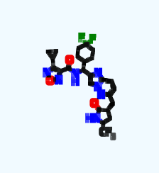 O=C(N[C@H](c1cn2nc(C[C@H]3C[C@@H](C(F)(F)F)NC3=O)ccc2n1)C1CCC(F)(F)CC1)c1nonc1C1CC1